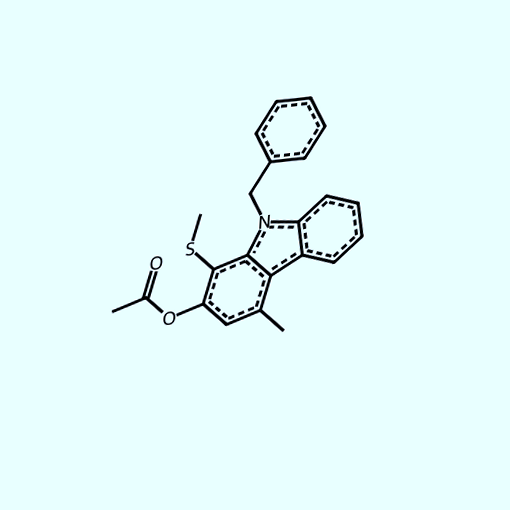 CSc1c(OC(C)=O)cc(C)c2c3ccccc3n(Cc3ccccc3)c12